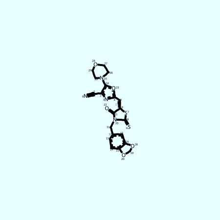 N#Cc1nc(/C=C2/SC(=S)N(Cc3ccc4c(c3)OCO4)C2=O)oc1N1CCOCC1